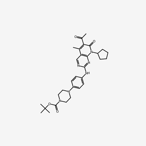 CC(=O)c1c(C)c2cnc(Nc3ccc(N4CCN(C(=O)OC(C)(C)C)CC4)cc3)nc2n(C2CCCC2)c1=O